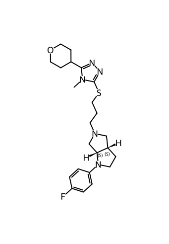 Cn1c(SCCCN2C[C@@H]3CCN(c4ccc(F)cc4)[C@@H]3C2)nnc1C1CCOCC1